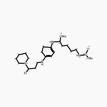 CCC(CCNC1=CC=C(NC(CCCCN[S+]([O-])C(C)(C)C)OC)CC1)N1CCCCC1